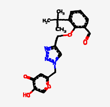 CC(C)(C)c1cccc(C=O)c1OCc1cn(Cc2cc(=O)c(O)co2)nn1